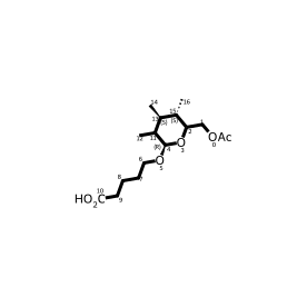 CC(=O)OCC1O[C@@H](OCCCCC(=O)O)C(C)[C@@H](C)[C@@H]1C